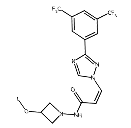 O=C(/C=C\n1cnc(-c2cc(C(F)(F)F)cc(C(F)(F)F)c2)n1)NN1CC(OI)C1